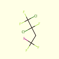 FC(F)(I)CC(F)(Cl)C(F)(F)Cl